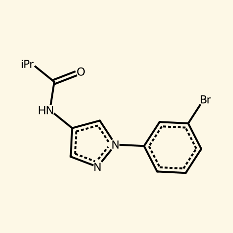 CC(C)C(=O)Nc1cnn(-c2cccc(Br)c2)c1